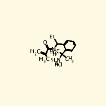 C=C(C)C(=O)NC(CC)c1ccccc1C(C)(C)N.Cl